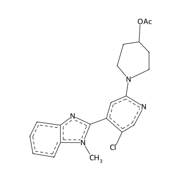 CC(=O)OC1CCN(c2cc(-c3nc4ccccc4n3C)c(Cl)cn2)CC1